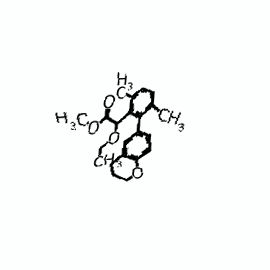 CCOC(C(=O)OC)c1c(C)ccc(C)c1-c1ccc2c(c1)CCCO2